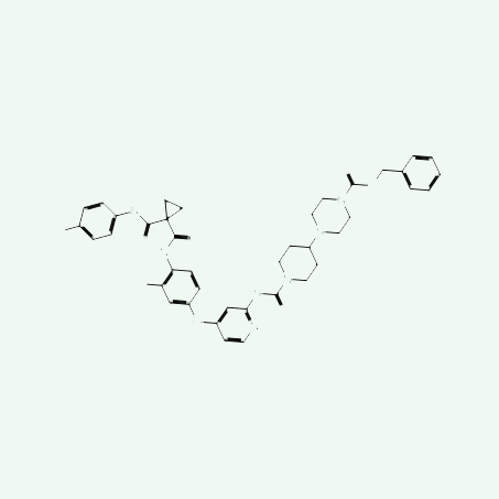 O=C(Nc1cc(Oc2ccc(NC(=O)C3(C(=O)Nc4ccc(F)cc4)CC3)c(F)c2)ccn1)N1CCC(N2CCN(C(=O)OCc3ccccc3)CC2)CC1